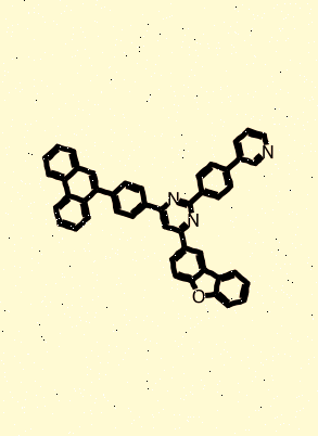 c1cncc(-c2ccc(-c3nc(-c4ccc(-c5cc6ccccc6c6ccccc56)cc4)cc(-c4ccc5oc6ccccc6c5c4)n3)cc2)c1